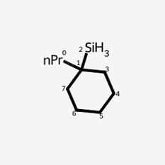 CCCC1([SiH3])CCCCC1